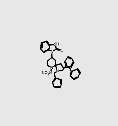 O=C(O)N1CCC(n2c(=O)[nH]c3ccccc32)CC1(CCCc1ccccc1)N(Cc1ccccc1)Cc1ccccc1